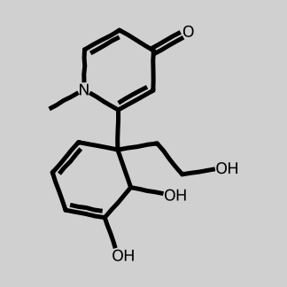 Cn1ccc(=O)cc1C1(CCO)C=CC=C(O)C1O